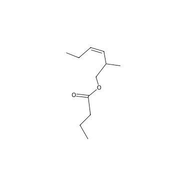 CC/C=C\C(C)COC(=O)CCC